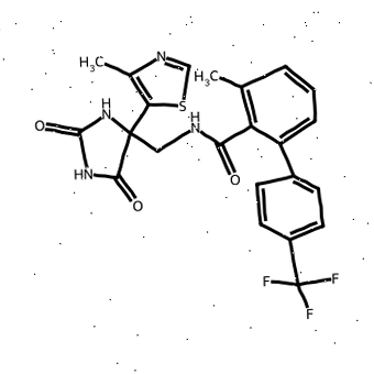 Cc1cccc(-c2ccc(C(F)(F)F)cc2)c1C(=O)NCC1(c2scnc2C)NC(=O)NC1=O